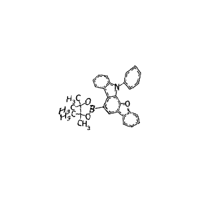 CC1(C)OB(c2cc3c4ccccc4oc3c3c2c2ccccc2n3-c2ccccc2)OC1(C)C